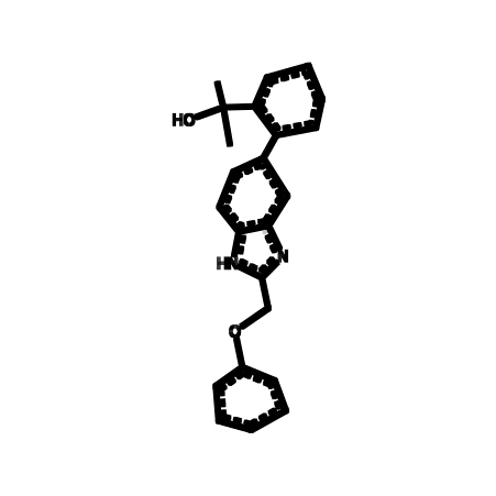 CC(C)(O)c1ccccc1-c1ccc2[nH]c(COc3ccccc3)nc2c1